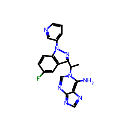 CC(c1nn(-c2cccnc2)c2ccc(F)cc12)n1cnc2ncnc-2c1N